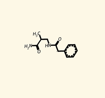 CC(CNC(=O)[CH]c1ccccc1)C(N)=O